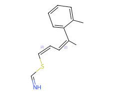 C/C(=C/C=C\SC=N)c1ccccc1C